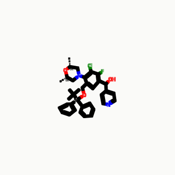 C[C@@H]1CN(c2c(CO[Si](c3ccccc3)(c3ccccc3)C(C)(C)C)cc(C(O)c3ccncc3)c(F)c2Cl)C[C@H](C)O1